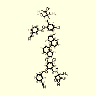 C[C@@](CO)(NCc1cc(Cl)c(O[C@H]2CCc3c(-c4cccc5c4CC[C@@H]5Oc4cc(OCc5cncc(C#N)c5)c(CN[C@@](C)(CO)C(=O)O)cc4Cl)cccc32)cc1OCc1cncc(C#N)c1)C(=O)O